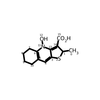 CC1SC2=CC3=C(CCCC3)N(O)C2=C1C(=O)O